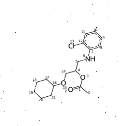 CC(=O)OC(CNc1ccccc1Cl)COC1CCCCC1